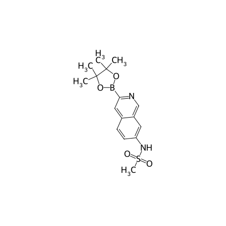 CC1(C)OB(c2cc3ccc(NS(C)(=O)=O)cc3cn2)OC1(C)C